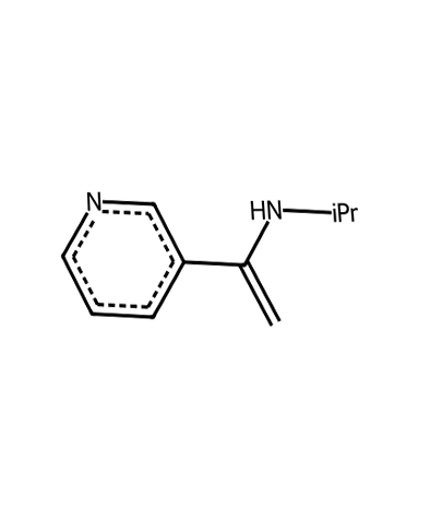 C=C(NC(C)C)c1cccnc1